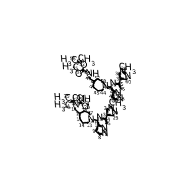 Cn1cc(-c2cn3nccc3c(N3CCCC(CN(C(=O)O)C(C)(C)C)CC3)n2)cn1.Cn1cc(-c2cn3nccc3c(N3CCCC(CNC(=O)OC(C)(C)C)CC3)n2)cn1